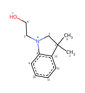 CC1(C)CN(CCO)c2c[c]ccc21